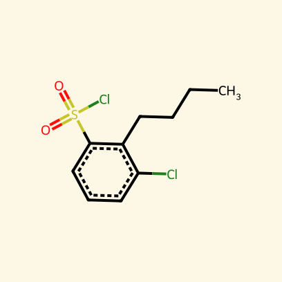 CCCCc1c(Cl)cccc1S(=O)(=O)Cl